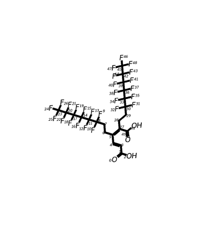 O=C(O)C=CC(CCC(F)(F)C(F)(F)C(F)(F)C(F)(F)C(F)(F)C(F)(F)F)=C(CCC(F)(F)C(F)(F)C(F)(F)C(F)(F)C(F)(F)C(F)(F)F)C(=O)O